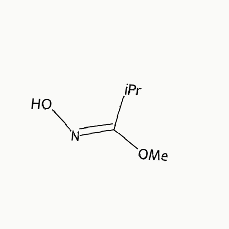 COC(=NO)C(C)C